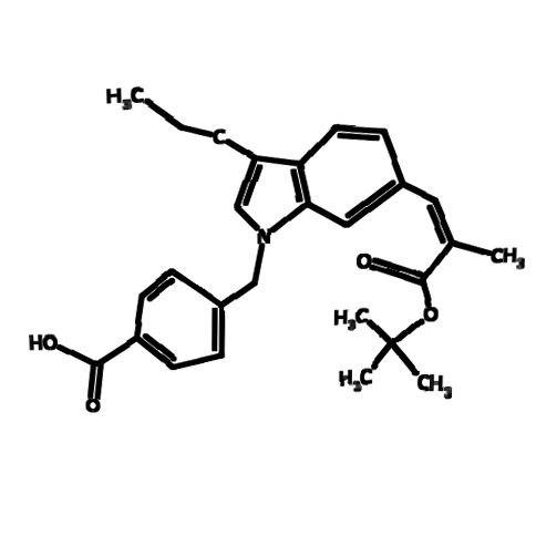 CCCc1cn(Cc2ccc(C(=O)O)cc2)c2cc(C=C(C)C(=O)OC(C)(C)C)ccc12